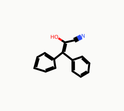 N#CC(O)=C(c1ccccc1)c1ccccc1